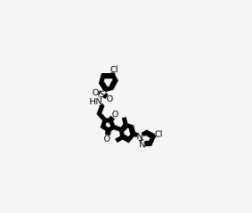 Cc1cc(-n2cc(Cl)cn2)cc(C)c1C1C(=O)CC(CCNS(=O)(=O)c2ccc(Cl)cc2)C1=O